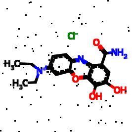 CC[N+](CC)=c1ccc2nc3c(C(N)=O)cc(O)c(O)c3oc-2c1.[Cl-]